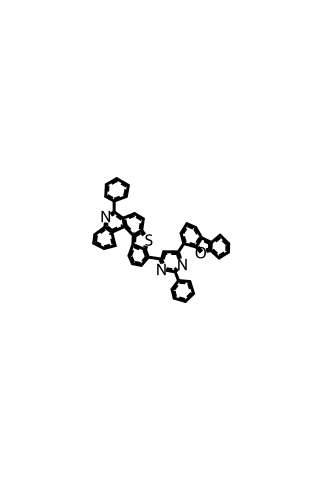 c1ccc(-c2nc(-c3cccc4c3oc3ccccc34)cc(-c3cccc4c3sc3ccc5c(-c6ccccc6)nc6ccccc6c5c34)n2)cc1